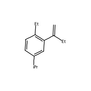 C=C(CC)c1cc(C(C)C)ccc1CC